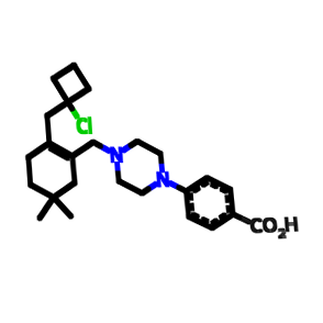 CC1(C)CCC(CC2(Cl)CCC2)=C(CN2CCN(c3ccc(C(=O)O)cc3)CC2)C1